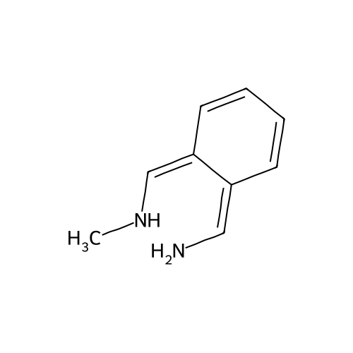 CN/C=c1/cccc/c1=C/N